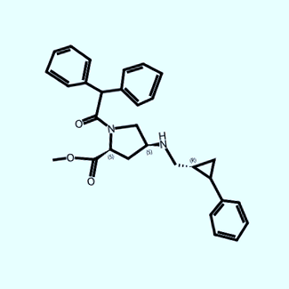 COC(=O)[C@@H]1C[C@H](NC[C@@H]2CC2c2ccccc2)CN1C(=O)C(c1ccccc1)c1ccccc1